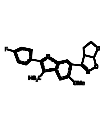 COc1cc2c(C(=O)O)c(-c3ccc(F)cc3)oc2cc1C1=NOC2OCCC12